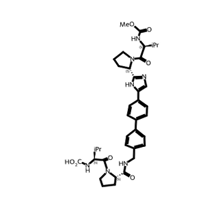 COC(=O)N[C@H](C(=O)N1CCC[C@H]1c1ncc(-c2ccc(-c3ccc(CNC(=O)[C@@H]4CCCN4C(=O)[C@@H](NC(=O)O)C(C)C)cc3)cc2)[nH]1)C(C)C